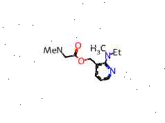 CCN(C)c1ncccc1COC(=O)CNC